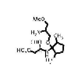 COCC(N)COC1(N[C@H](C=O)CC(=O)O)C(C)CCC1C